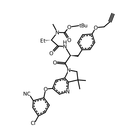 C#CCOc1ccc(C[C@H](NC(=O)[C@H](CC)N(C)C(=O)OC(C)(C)C)C(=O)N2CC(C)(C)c3ncc(Oc4ccc(Cl)cc4C#N)cc32)cc1